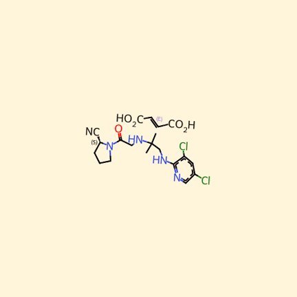 CC(C)(CNc1ncc(Cl)cc1Cl)NCC(=O)N1CCC[C@H]1C#N.O=C(O)/C=C/C(=O)O